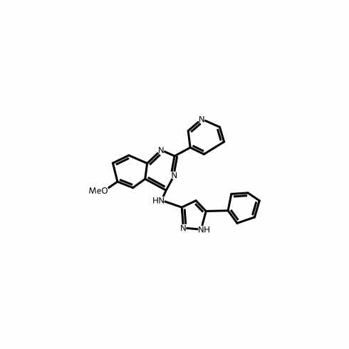 COc1ccc2nc(-c3cccnc3)nc(Nc3cc(-c4ccccc4)[nH]n3)c2c1